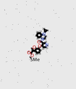 CSCOC(=O)c1coc2c(Oc3ccncc3C(=O)N3CCN(C4CC4)c4ccccc43)cccc12